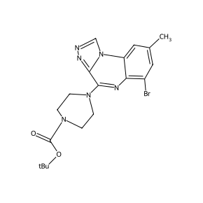 Cc1cc(Br)c2nc(N3CCN(C(=O)OC(C)(C)C)CC3)c3nncn3c2c1